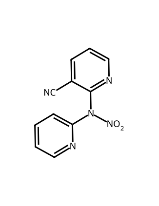 N#Cc1cccnc1N(c1ccccn1)[N+](=O)[O-]